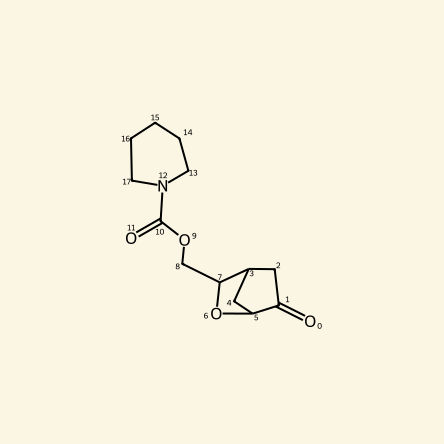 O=C1CC2CC1OC2COC(=O)N1CCCCC1